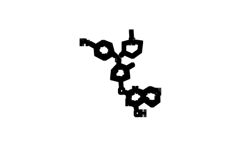 Cc1cc(Oc2nc(O)c3ccncc3n2)ccc1N(c1ccc(C(C)C)cc1)C1CCCN(C)C1